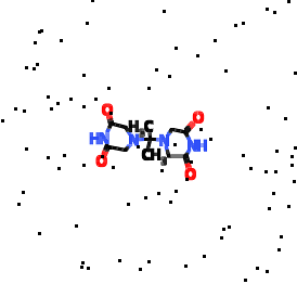 CC(C)(N1CC(=O)NC(=O)C1)N1CC(=O)NC(=O)C1